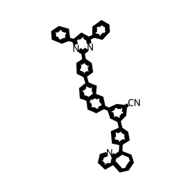 N#Cc1cc(-c2ccc(C3=c4ncccc4=CC=CC3)cc2)cc(-c2ccc3ccc(-c4ccc(-c5nc(-c6ccccc6)cc(-c6ccccc6)n5)cc4)cc3c2)c1